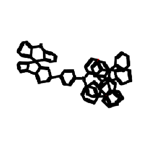 c1ccc(-n2c3cc4ccccc4cc3c3c(N(c4ccc(-c5ccc6c(c5)C5(c7ccccc7Sc7ccccc75)c5ccccc5-6)cc4)c4cccc(-c5ccccc5C5(c6ccccc6)c6ccccc6-c6ccccc65)c4)cccc32)cc1